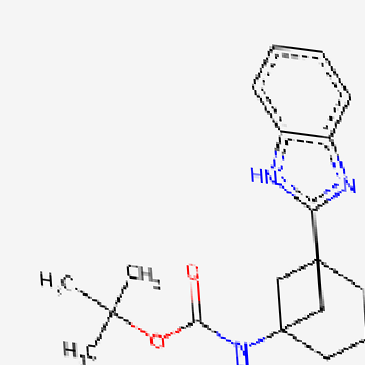 CC(C)(C)OC(=O)NC12CCCC(c3nc4ccccc4[nH]3)(C1)C2